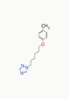 Cc1ccc(OCCCCCCn2cncn2)cc1